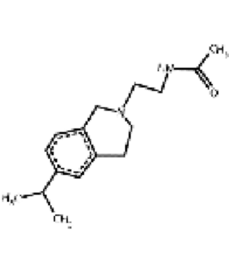 CC(=O)NCCN1CCc2cc(C(C)C)ccc2C1